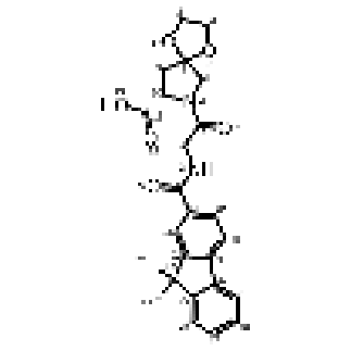 O=C(NCC(=O)N1CC2(C[C@H]1C(=O)O)OCCO2)c1ccc2c(c1)C(F)(F)c1ccccc1-2